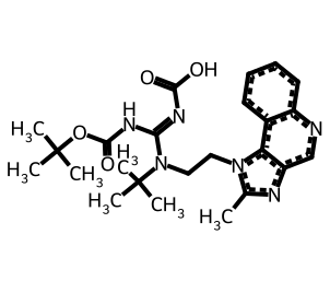 Cc1nc2cnc3ccccc3c2n1CCN(C(=NC(=O)O)NC(=O)OC(C)(C)C)C(C)(C)C